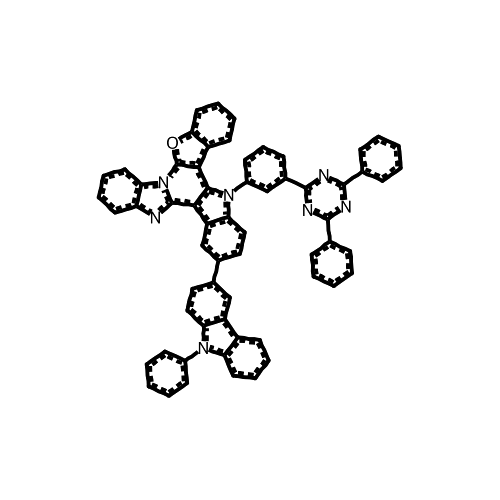 c1ccc(-c2nc(-c3ccccc3)nc(-c3cccc(-n4c5ccc(-c6ccc7c(c6)c6ccccc6n7-c6ccccc6)cc5c5c4c4c6ccccc6oc4n4c6ccccc6nc54)c3)n2)cc1